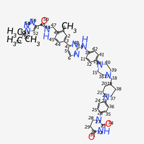 Cc1cc(-c2ccnc(Nc3ccc(N4CCN(CC5CCN(c6ccc(N7CCC(=O)NC7=O)cc6)CC5)CC4)cc3)n2)ccc1CNC(=O)c1cn(C(C)(C)C)nn1